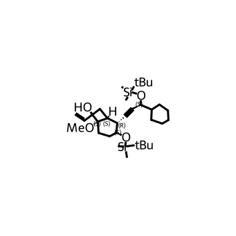 C=CC1(O)C[C@H]2[C@H](C#C[C@@H](O[Si](C)(C)C(C)(C)C)C3CCCCC3)[C@@H](O[Si](C)(C)C(C)(C)C)CC[C@]21OC